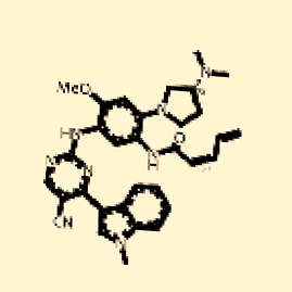 C=C/C=C\C(=O)Nc1cc(Nc2ncc(C#N)c(-c3cn(C)c4ccccc34)n2)c(OC)cc1N1CC[C@@H](N(C)C)C1